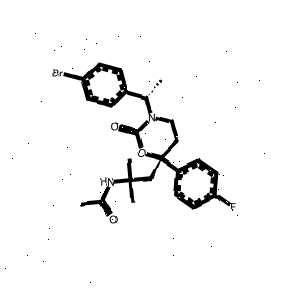 CC(=O)NC(C)(C)C[C@]1(c2ccc(F)cc2)CCN([C@@H](C)c2ccc(Br)cc2)C(=O)O1